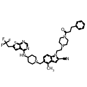 Cc1c(CN2CCC(Nc3ncnc4sc(CC(F)(F)F)cc34)CC2)ccc2c1cc(C#N)n2CCN1CCN(C(=O)CCc2ccccc2)CC1